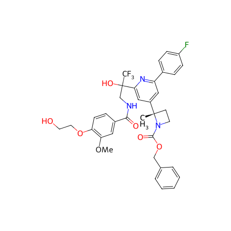 COc1cc(C(=O)NCC(O)(c2cc([C@]3(C)CCN3C(=O)OCc3ccccc3)cc(-c3ccc(F)cc3)n2)C(F)(F)F)ccc1OCCO